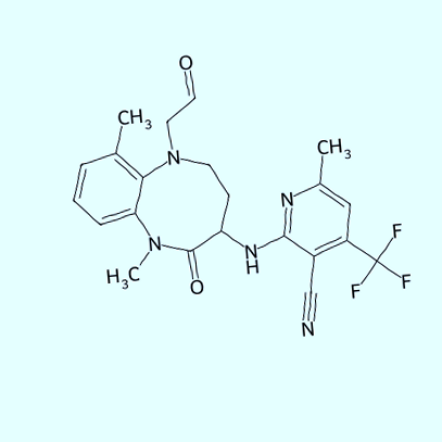 Cc1cc(C(F)(F)F)c(C#N)c(NC2CCN(CC=O)c3c(C)cccc3N(C)C2=O)n1